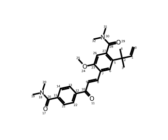 C=CC(C)(C)c1cc(/C=C/C(=O)c2ccc(C(=O)N(C)C)cc2)c(OC)cc1C(=O)N(C)C